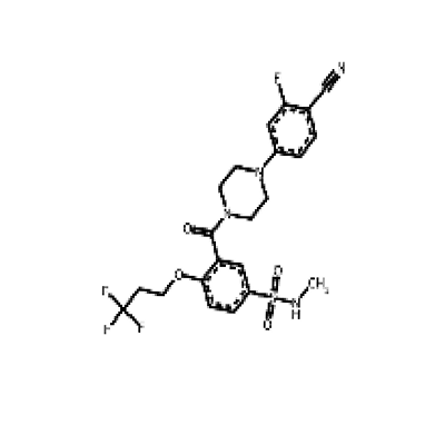 CNS(=O)(=O)c1ccc(OCCC(F)(F)F)c(C(=O)N2CCN(c3ccc(C#N)c(F)c3)CC2)c1